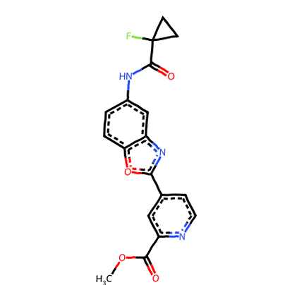 COC(=O)c1cc(-c2nc3cc(NC(=O)C4(F)CC4)ccc3o2)ccn1